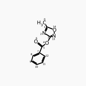 Cc1nc(OC(=O)c2ccccc2)no1